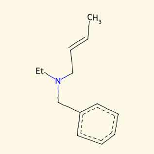 CC=CCN(CC)Cc1ccccc1